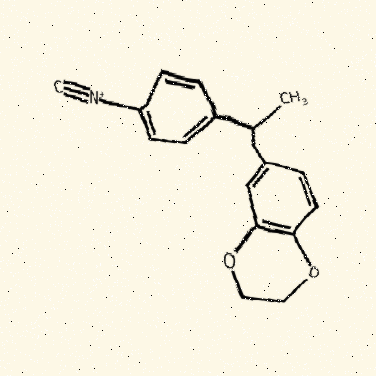 [C-]#[N+]c1ccc(C(C)c2ccc3c(c2)OCCO3)cc1